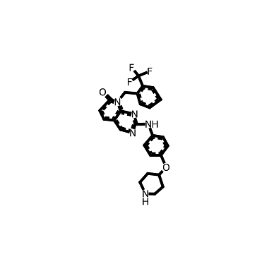 O=c1ccc2cnc(Nc3ccc(OC4CCNCC4)cc3)nc2n1Cc1ccccc1C(F)(F)F